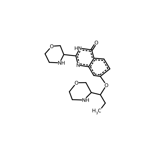 CCC(Oc1ccc2c(=O)[nH]c(C3COCCN3)nc2c1)C1COCCN1